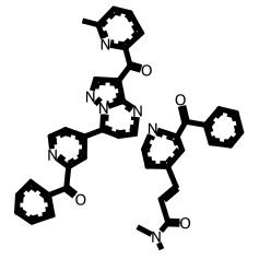 CN(C)C(=O)C=Cc1ccnc(C(=O)c2ccccc2)c1.Cc1cccc(C(=O)c2cnn3c(-c4ccnc(C(=O)c5ccccc5)c4)ccnc23)n1